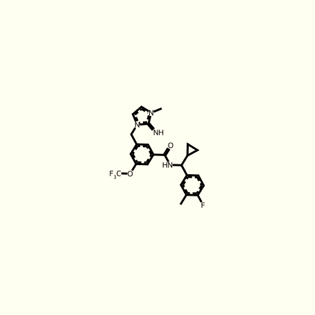 Cc1cc(C(NC(=O)c2cc(Cn3ccn(C)c3=N)cc(OC(F)(F)F)c2)C2CC2)ccc1F